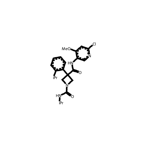 COc1cc(Cl)ncc1NC(=O)C1(c2ccccc2C(C)C)CN(C(=O)NC(C)C)C1